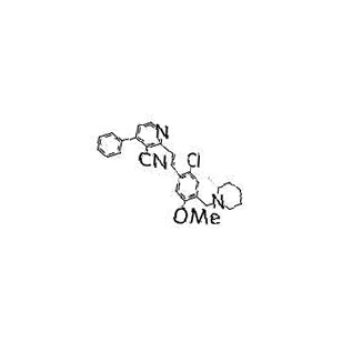 COc1cc(/C=C/c2nccc(-c3ccccc3)c2C#N)c(Cl)cc1CN1CCCC[C@H]1C